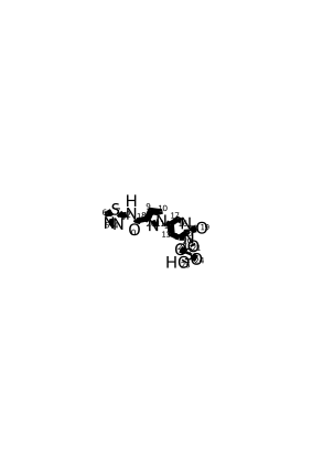 O=C(Nc1nncs1)c1ccn(C2=CC3CN(C2)C(=O)N3OS(=O)(=O)O)n1